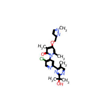 Cc1cnc(C(C)(C)O)nc1-c1cc(-n2c(C)cc(OCc3ccn(C)n3)c(C)c2=O)c(Cl)cn1